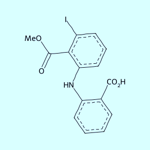 COC(=O)c1c(I)cccc1Nc1ccccc1C(=O)O